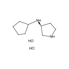 C1CCC(N[C@H]2CCNC2)C1.Cl.Cl